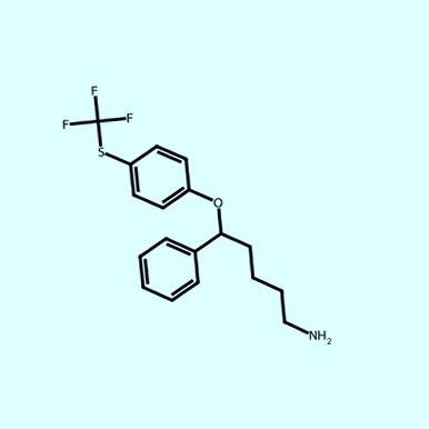 NCCCCC(Oc1ccc(SC(F)(F)F)cc1)c1ccccc1